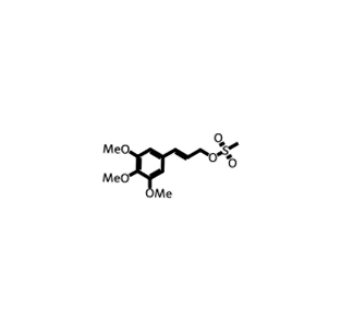 COc1cc(/C=C/COS(C)(=O)=O)cc(OC)c1OC